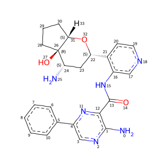 Nc1ncc(-c2ccccc2)nc1C(=O)Nc1cnccc1[C@@H]1C[C@H](N)[C@]2(O)CCC[C@@H]2O1